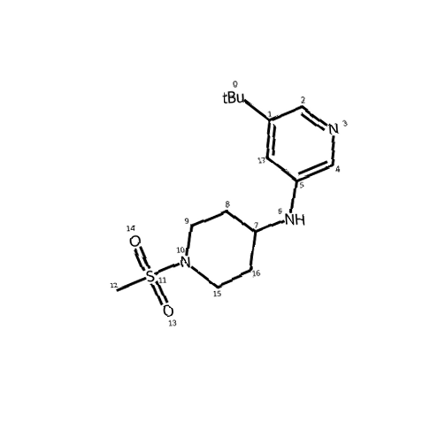 CC(C)(C)c1cncc(NC2CCN(S(C)(=O)=O)CC2)c1